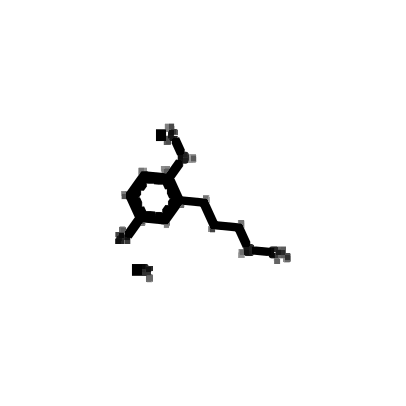 Br.COCCCc1c[c]([Zn])ccc1OC